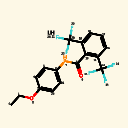 CCOc1ccc(PC(=O)c2c(C(F)(F)F)cccc2C(F)(F)F)cc1.[LiH]